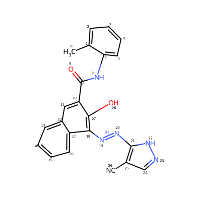 Cc1ccccc1NC(=O)c1cc2ccccc2c(/N=N/c2[nH]ncc2C#N)c1O